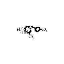 CC1CN(Cc2ccc([N+](=O)[O-])cc2)CC(C)N1